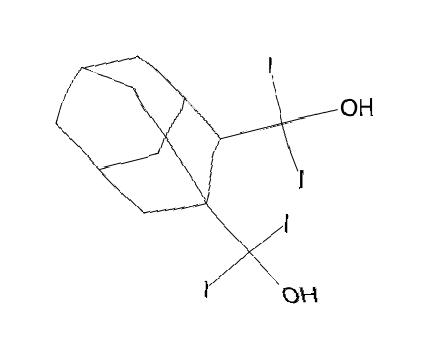 OC(I)(I)C1C2CC3CC(C2)CC1(C(O)(I)I)C3